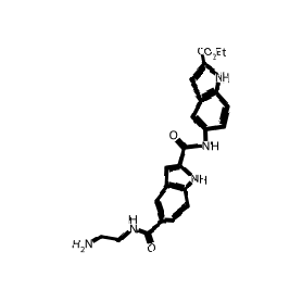 CCOC(=O)c1cc2cc(NC(=O)c3cc4cc(C(=O)NCCN)ccc4[nH]3)ccc2[nH]1